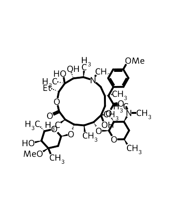 CC[C@H]1OC(=O)[C@H](C)[C@@H](O[C@H]2C[C@@](C)(OC)[C@@H](O)[C@H](C)O2)[C@H](C)[C@@H](O[C@@H]2O[C@H](C)C[C@H](N(C)C)[C@H]2OC(=O)Cc2ccc(OC)cc2)[C@](C)(O)C[C@@H](C)CN(C)[C@H](C)[C@@H](O)[C@]1(C)O